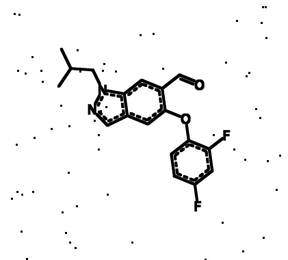 CC(C)Cn1ncc2cc(Oc3ccc(F)cc3F)c(C=O)cc21